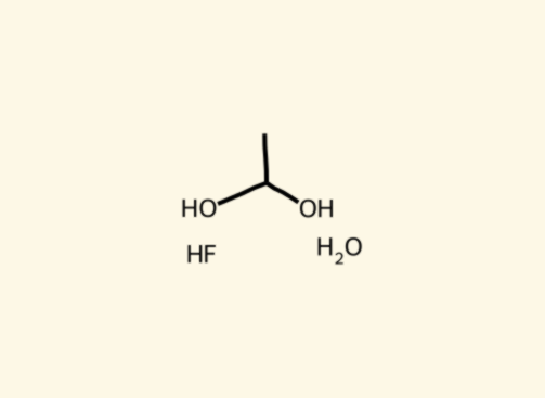 CC(O)O.F.O